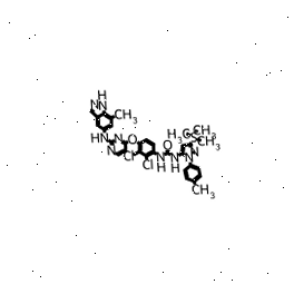 Cc1ccc(-n2nc(S(C)(C)C)cc2NC(=O)Nc2ccc(Oc3ccnc(Nc4cc(C)c5[nH]ncc5c4)n3)c(Cl)c2Cl)cc1